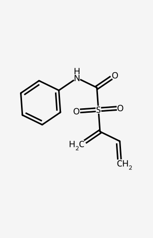 C=CC(=C)S(=O)(=O)C(=O)Nc1ccccc1